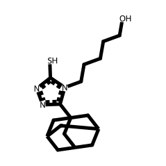 OCCCCCn1c(S)nnc1C12CC3CC(CC(C3)C1)C2